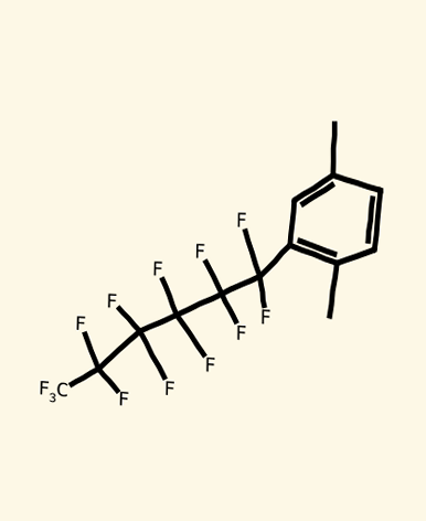 Cc1ccc(C)c(C(F)(F)C(F)(F)C(F)(F)C(F)(F)C(F)(F)C(F)(F)F)c1